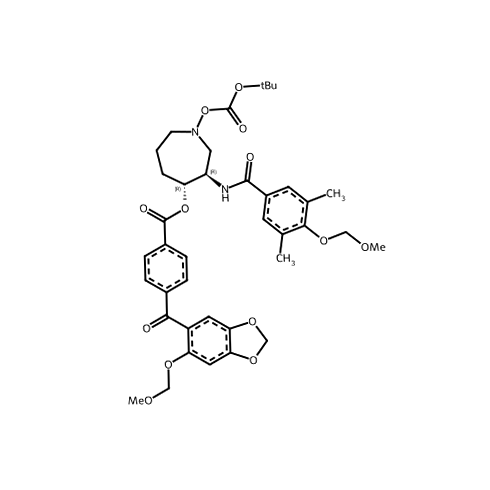 COCOc1cc2c(cc1C(=O)c1ccc(C(=O)O[C@@H]3CCCN(OC(=O)OC(C)(C)C)C[C@H]3NC(=O)c3cc(C)c(OCOC)c(C)c3)cc1)OCO2